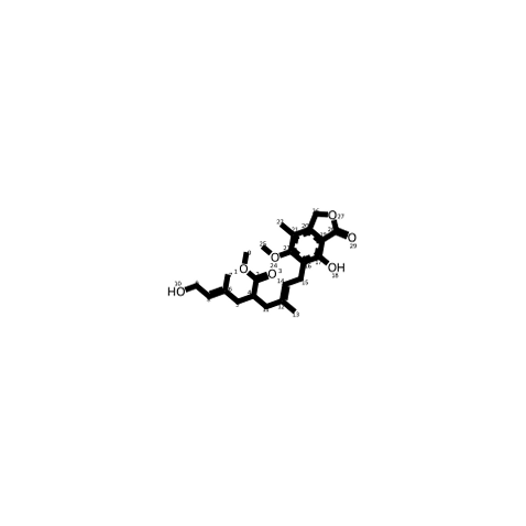 COC(=O)C(C/C(C)=C/CO)C/C(C)=C/Cc1c(O)c2c(c(C)c1OC)COC2=O